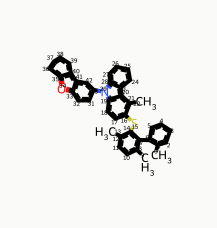 Cc1ccccc1-c1c(C)ccc(C)c1Sc1ccc2c(c1C)c1ccccc1n2-c1ccc2oc3ccccc3c2c1